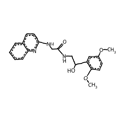 COc1ccc(OC)c(C(O)CNC(=O)CNc2ccc3ccccc3n2)c1